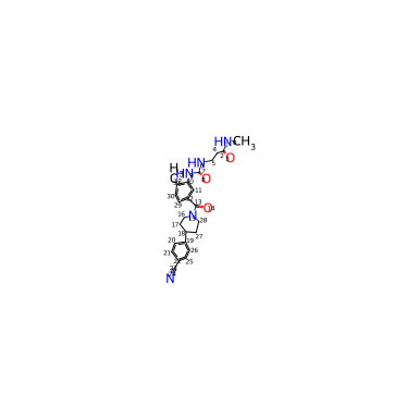 CNC(=O)CCNC(=O)Nc1cc(C(=O)N2CCC(c3ccc(C#N)cc3)CC2)ccc1C